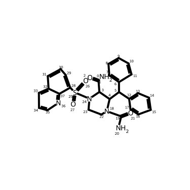 NC(=O)C1C(C(c2ccccc2)c2ccccc2)N(C(N)=O)CCN1S(=O)(=O)c1cccc2cccnc12